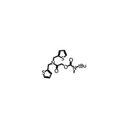 CN(C(=O)OCC(=O)N(Cc1cccs1)Cc1cccs1)C(C)(C)C